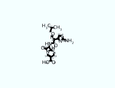 CC(C)CON=C(C(=O)NC1C(=O)N2C=C(C(=O)O)CS[C@H]12)c1csc(N)n1